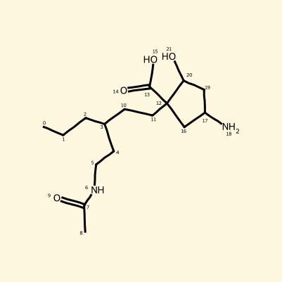 CCCC(CCNC(C)=O)CCC1(C(=O)O)CC(N)CC1O